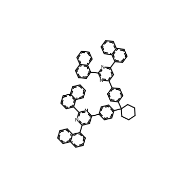 c1ccc2c(-c3cc(-c4ccc(C5(c6ccc(-c7cc(-c8cccc9ccccc89)nc(-c8cccc9ccccc89)n7)cc6)CCCCC5)cc4)nc(-c4cccc5ccccc45)n3)cccc2c1